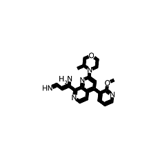 COc1ncccc1-c1cc(N2CCOCC2C)nc2c(/C(N)=C/C=N)nccc12